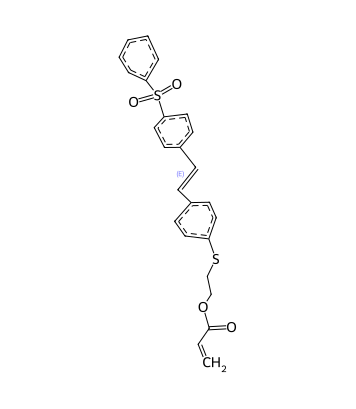 C=CC(=O)OCCSc1ccc(/C=C/c2ccc(S(=O)(=O)c3ccccc3)cc2)cc1